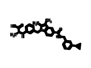 Cc1c(C)n(Cc2cccc(N[C@@H](C)C(=O)O)c2)c2ccc(C(=O)NCc3cccc(C4CC4)c3)cc12